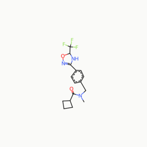 CN(Cc1ccc(C2=NOC(C(F)(F)F)N2)cc1)C(=O)C1CCC1